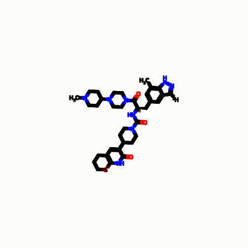 [2H]c1n[nH]c2c(C)cc(C[C@@H](NC(=O)N3CCC(c4cc5c([nH]c4=O)SCCC5)CC3)C(=O)N3CCN(C4CCN(C)CC4)CC3)cc12